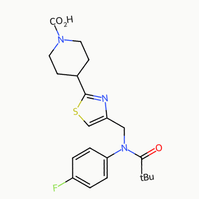 CC(C)(C)C(=O)N(Cc1csc(C2CCN(C(=O)O)CC2)n1)c1ccc(F)cc1